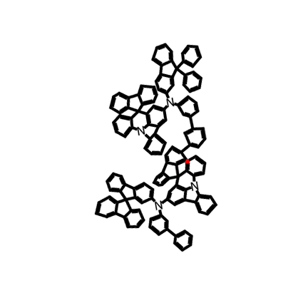 c1ccc(-c2cccc(N(c3ccc4c(c3)C3(c5ccccc5-c5ccccc53)c3ccccc3-4)c3cc4c5c(c3)c3ccccc3n5-c3ccccc3C43c4ccccc4-c4ccc(-c5cccc(-c6cccc(N(c7ccc8c(c7)C(c7ccccc7)(c7ccccc7)c7ccccc7-8)c7cc8c9c(c7)c7ccccc7n9-c7ccccc7C87c8ccccc8-c8ccccc87)c6)c5)cc43)c2)cc1